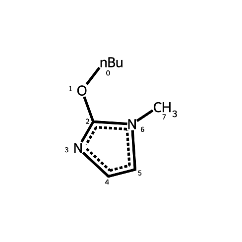 CCCCOc1nccn1C